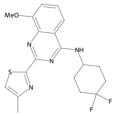 COc1cccc2c(NC3CCC(F)(F)CC3)nc(-c3nc(C)cs3)nc12